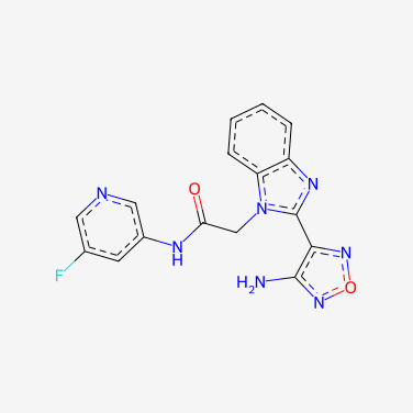 Nc1nonc1-c1nc2ccccc2n1CC(=O)Nc1cncc(F)c1